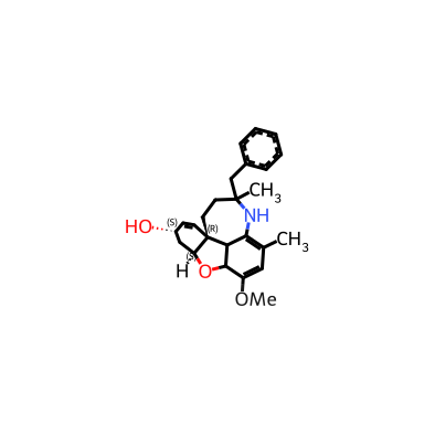 COC1=CC(C)=C2NC(C)(Cc3ccccc3)CC[C@]34C=C[C@@H](O)C[C@@H]3OC1C24